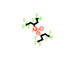 O=[PH](OC(CC(F)(F)F)CC(F)(F)F)OC(CC(F)(F)F)CC(F)(F)F